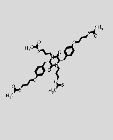 CC(=O)SCCCOc1ccc(C[C@H]2C(=O)N(CCCSC(C)=O)[C@@H](Cc3ccc(OCCCSC(C)=O)cc3)C(=O)N2CCCOC(C)=S)cc1